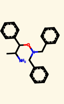 CC(N)C(ON(Cc1ccccc1)Cc1ccccc1)c1ccccc1